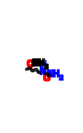 CC(CCCNC(N)=O)O[SiH3]